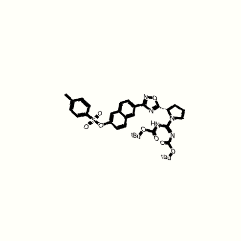 Cc1ccc(S(=O)(=O)Oc2ccc3cc(-c4noc([C@@H]5CCCN5/C(=N/C(=O)OC(C)(C)C)NC(=O)OC(C)(C)C)n4)ccc3c2)cc1